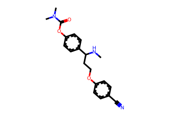 CNC(CCOc1ccc(C#N)cc1)c1ccc(OC(=O)N(C)C)cc1